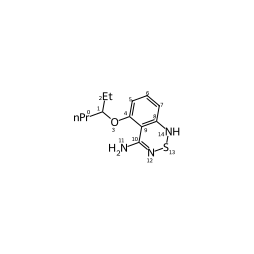 CCCC(CC)Oc1cccc2c1C(N)=NSN2